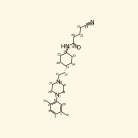 Cc1ccc(C)c(N2CCN(CC[C@H]3CC[C@H](NC(=O)CCCC#N)CC3)CC2)c1